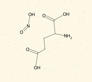 NC(CCC(=O)O)C(=O)O.O=NO